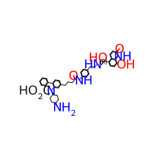 NC1CCC(N(C(=O)O)c2cc(CCCC(=O)Nc3ccc(CCNC[C@H](O)c4ccc(O)c5[nH]c(=O)ccc45)cc3)ccc2-c2ccccc2)CC1